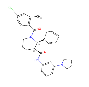 Cc1cc(Cl)ccc1C(=O)N1CCC[C@H](C(=O)Nc2cccc(N3CCCC3)c2)[C@@H]1C1C=CC=CC1